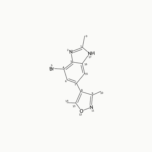 Cc1nc2c(Br)cc(-c3c(C)noc3C)cc2[nH]1